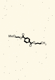 C=CCCOC(=O)c1ccc(C(=O)OCCOC)cc1